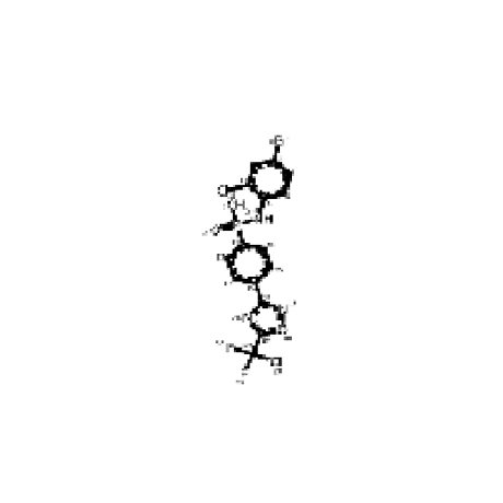 CP(=O)(Nc1ccc(Br)cc1Cl)c1ccc(-c2noc(C(F)(F)Cl)n2)cc1